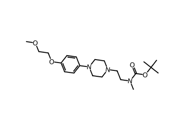 COCCOc1ccc(N2CCN(CCN(C)C(=O)OC(C)(C)C)CC2)cc1